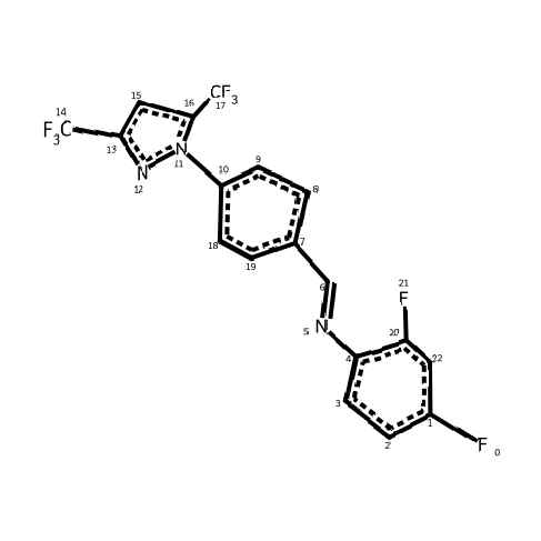 Fc1ccc(N=Cc2ccc(-n3nc(C(F)(F)F)cc3C(F)(F)F)cc2)c(F)c1